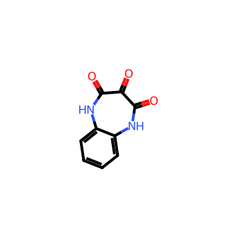 O=c1[nH]c2ccccc2[nH]c(=O)c1=O